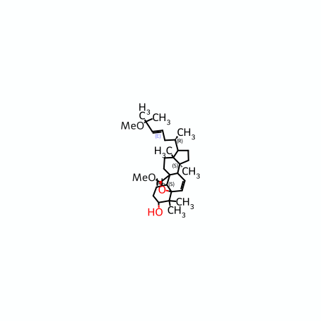 CO[C@@H]1OC23C=CC4C1(CCC1(C)C([C@H](C)C/C=C/C(C)(C)OC)CC[C@@]41C)[C@@H]2CCC(O)C3(C)C